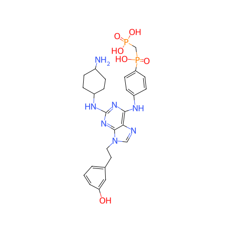 NC1CCC(Nc2nc(Nc3ccc(P(=O)(O)CP(=O)(O)O)cc3)c3ncn(CCc4cccc(O)c4)c3n2)CC1